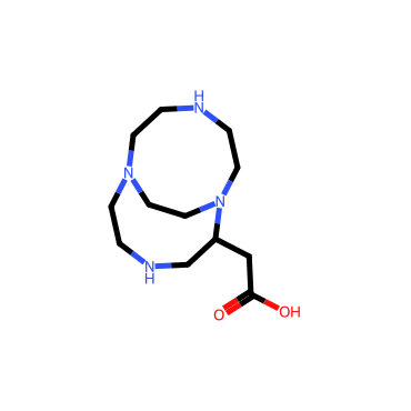 O=C(O)CC1CNCCN2CCNCCN1CC2